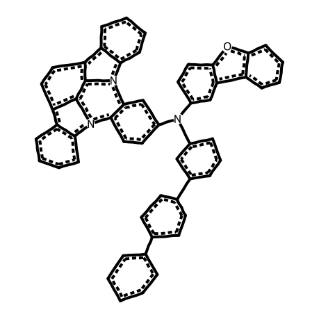 c1ccc(-c2ccc(-c3cccc(N(c4ccc5oc6ccccc6c5c4)c4ccc5c(c4)n4c6ccccc6c6ccc7c8ccccc8n5c7c64)c3)cc2)cc1